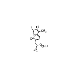 Cc1c(Cl)c(F)cn2c(=O)c(CC(OC=O)C3CC3)ccc12